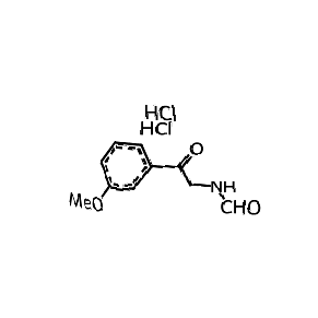 COc1cccc(C(=O)CNC=O)c1.Cl.Cl